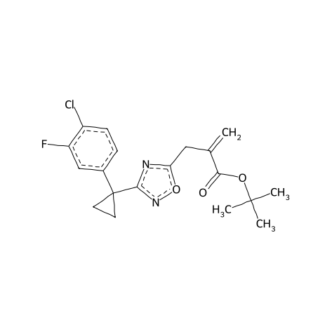 C=C(Cc1nc(C2(c3ccc(Cl)c(F)c3)CC2)no1)C(=O)OC(C)(C)C